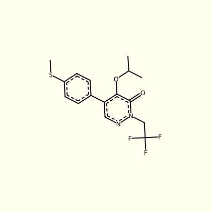 CSc1ccc(-c2cnn(CC(F)(F)F)c(=O)c2OC(C)C)cc1